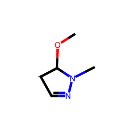 COC1[CH]C=NN1C